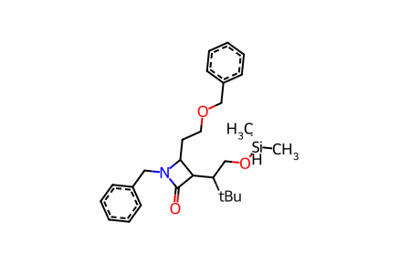 C[SiH](C)OCC(C1C(=O)N(Cc2ccccc2)C1CCOCc1ccccc1)C(C)(C)C